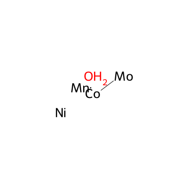 O.[Co][Mo].[Mn].[Ni]